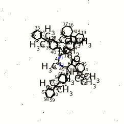 C=C1B2c3cc(C)c(C4(C5=CC=CCC5)CCCCCC4(C)C)cc3N(c3ccc(C(C)(C)C4=CC=CCC4)cc3)/C1=C/C(C)=C\C(Nc1ccc(C(C)(C)c3ccccc3)cc1)c1c2oc2c1C=C(S(C)(C)C)CC2